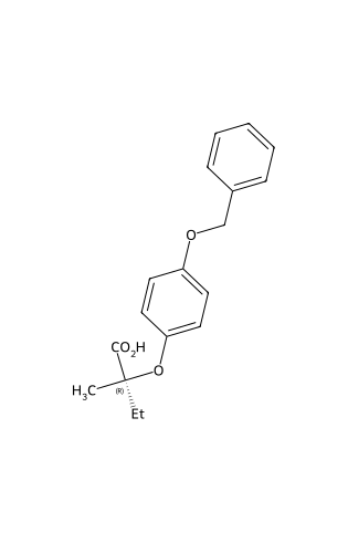 CC[C@@](C)(Oc1ccc(OCc2ccccc2)cc1)C(=O)O